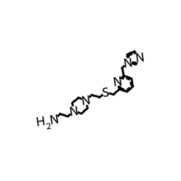 NCCN1CCN(CCSCc2cccc(Cn3ccnc3)n2)CC1